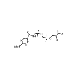 CCNC(=O)COC(C)(C)COC(C)(C)CNC(=O)c1cnc(SC)nc1